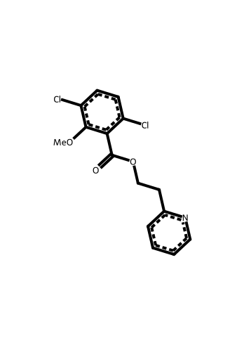 COc1c(Cl)ccc(Cl)c1C(=O)OCCc1ccccn1